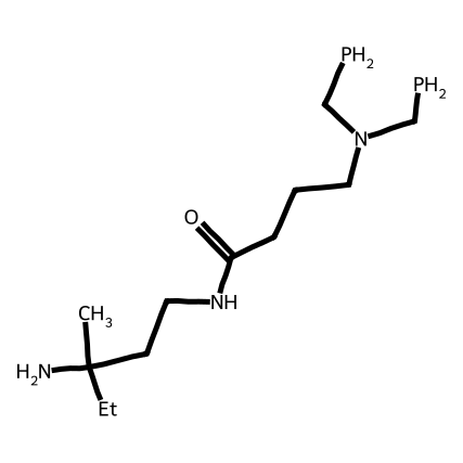 CCC(C)(N)CCNC(=O)CCCN(CP)CP